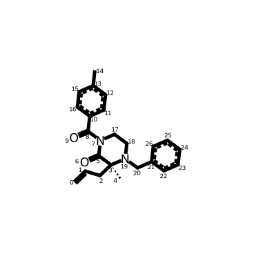 C=CC[C@@]1(C)C(=O)N(C(=O)c2ccc(C)cc2)CCN1Cc1ccccc1